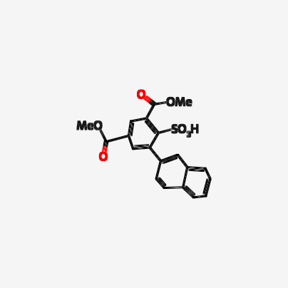 COC(=O)c1cc(C(=O)OC)c(S(=O)(=O)O)c(-c2ccc3ccccc3c2)c1